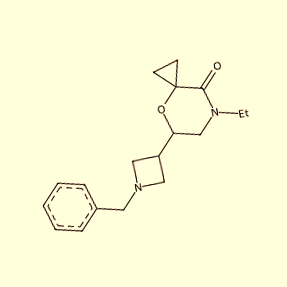 CCN1CC(C2CN(Cc3ccccc3)C2)OC2(CC2)C1=O